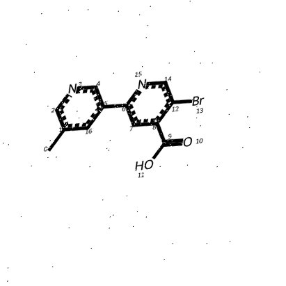 Cc1cncc(-c2cc(C(=O)O)c(Br)cn2)c1